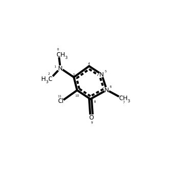 CN(C)c1cnn(C)c(=O)c1Cl